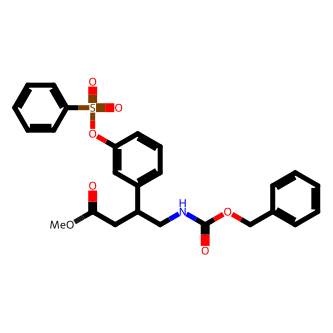 COC(=O)CC(CNC(=O)OCc1ccccc1)c1cccc(OS(=O)(=O)c2ccccc2)c1